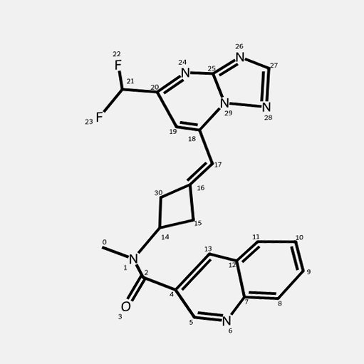 CN(C(=O)c1cnc2ccccc2c1)C1CC(=Cc2cc(C(F)F)nc3ncnn23)C1